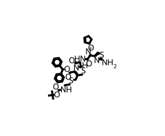 CC(C)(C)OC(=O)NCCSCC1=C(C(=O)OC(c2ccccc2)c2ccccc2)N2C(=O)C(NC(=O)C(=NOC3C=CCC3)c3csc(N)n3)[C@@H]2SC1